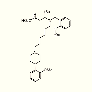 COc1ccccc1C1CCN(CCCCCCN(Cc2ccccc2OC(C)(C)C)C(CNC(=O)O)C(C)(C)C)CC1